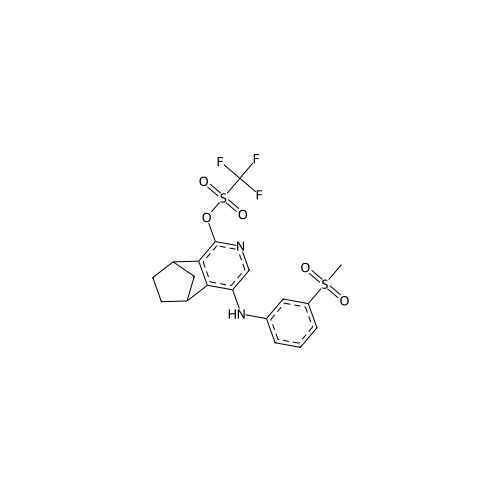 CS(=O)(=O)c1cccc(Nc2cnc(OS(=O)(=O)C(F)(F)F)c3c2C2CCC3C2)c1